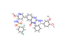 COc1ccc(CNc2nc3ccc(-c4cnc(OC)c(NS(=O)(=O)c5ccc(F)cc5F)c4)cc3c(=O)n2-c2ccccc2)cc1OC